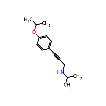 CC(C)NCC#Cc1ccc(OC(C)C)cc1